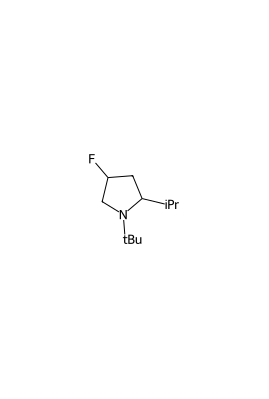 CC(C)C1CC(F)CN1C(C)(C)C